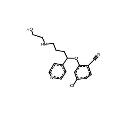 N#Cc1ccc(Cl)cc1OC(CCCNCCO)c1ccncc1